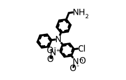 NCc1ccc(N(c2ccccc2)c2cc(Cl)c([N+](=O)[O-])cc2[N+](=O)[O-])cc1